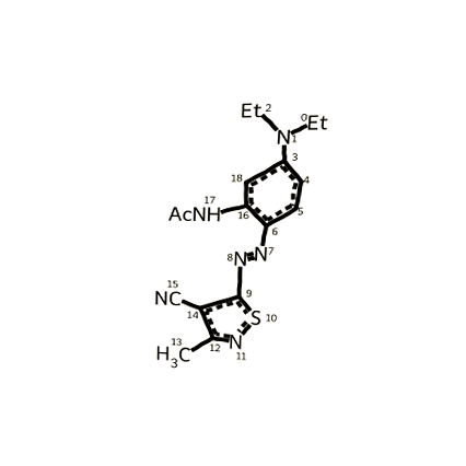 CCN(CC)c1ccc(/N=N/c2snc(C)c2C#N)c(NC(C)=O)c1